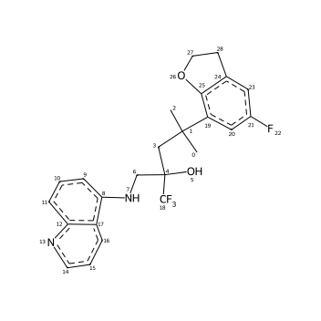 CC(C)(CC(O)(CNc1cccc2ncccc12)C(F)(F)F)c1cc(F)cc2c1OCC2